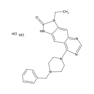 CCn1c(=O)[nH]c2cc3c(N4CCN(Cc5ccccc5)CC4)ncnc3cc21.Cl.Cl